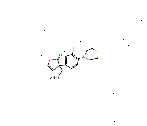 CC(=O)NCC1(c2ccc(N3CCSCC3)c(F)c2)C=COC1=O